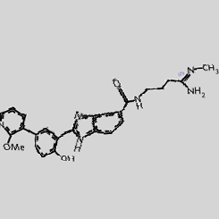 C/N=C(\N)CCCNC(=O)c1ccc2[nH]c(-c3cc(-c4cccnc4OC)ccc3O)nc2c1